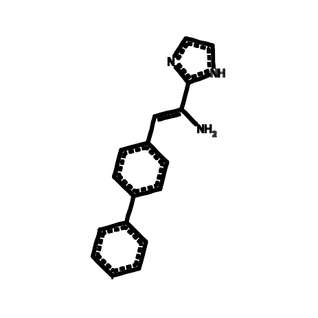 NC(=Cc1ccc(-c2cc[c]cc2)cc1)c1ncc[nH]1